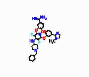 CN1CCN=C1c1cccc(Oc2nc(Oc3cc(C(=N)N)ccc3O)c(F)c(NC3CCN(Cc4ccccc4)CC3)c2F)c1